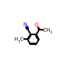 CC(=O)c1cccc(C)c1C#N